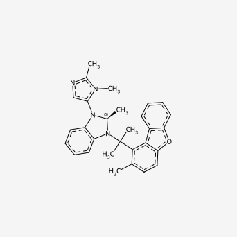 Cc1ccc2oc3ccccc3c2c1C(C)(C)N1c2ccccc2N(c2cnc(C)n2C)[C@H]1C